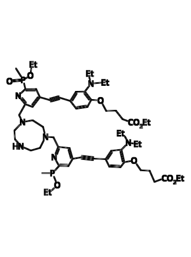 CCOC(=O)CCCOc1ccc(C#Cc2cc(CN3CCNCCN(Cc4cc(C#Cc5ccc(OCCCC(=O)OCC)c(N(CC)CC)c5)cc(P(C)(=O)OCC)n4)CC3)nc(P(C)OCC)c2)cc1N(CC)CC